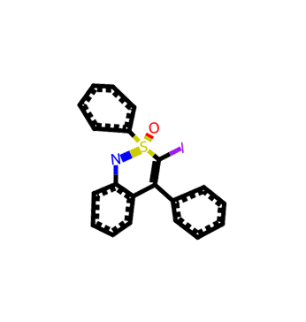 O=S1(c2ccccc2)=Nc2ccccc2C(c2ccccc2)=C1I